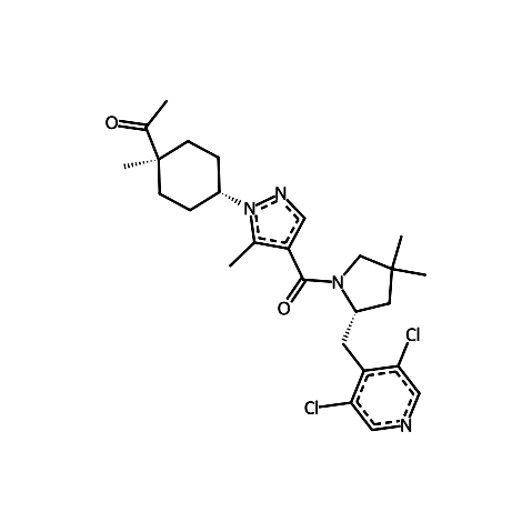 Cc1c(C(=O)N2CC(C)(C)C[C@@H]2Cc2c(Cl)cncc2Cl)cnn1[C@H]1CC[C@](C)(C(C)=O)CC1